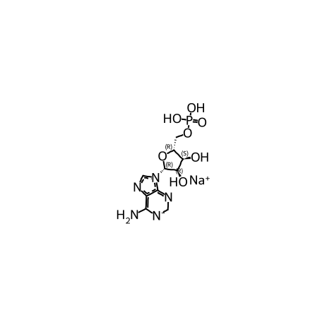 NC1=c2ncn([C@@H]3O[C@H](COP(=O)(O)O)[C@@H](O)[C@H]3O)c2=NC[N-]1.[Na+]